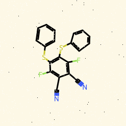 N#Cc1c(F)c(Sc2ccccc2)c(Sc2ccccc2)c(F)c1C#N